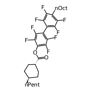 CCCCCCCCc1c(F)c(F)c(-c2c(F)c(F)c(OC(=O)[C@H]3CC[C@H](CCCCC)CC3)c(F)c2F)c(F)c1F